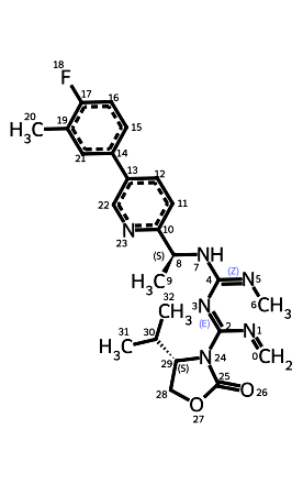 C=N/C(=N\C(=N/C)N[C@@H](C)c1ccc(-c2ccc(F)c(C)c2)cn1)N1C(=O)OC[C@@H]1C(C)C